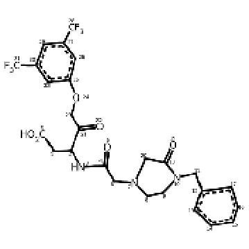 O=C(O)CC(NC(=O)CN1CCN(Cc2ccccc2)C(=O)C1)C(=O)COc1cc(C(F)(F)F)cc(C(F)(F)F)c1